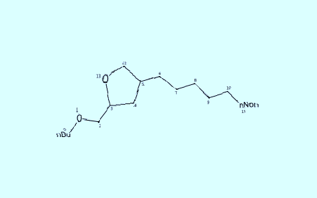 [CH2]CCCOCC1CC(CCCCCCCCCCCCCC)CO1